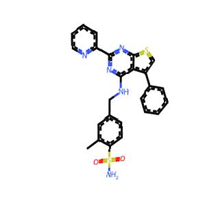 Cc1cc(CNc2nc(-c3ccccn3)nc3scc(-c4ccccc4)c23)ccc1S(N)(=O)=O